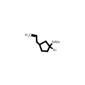 C=CCC1CCC(NC)(C(C)=O)C1